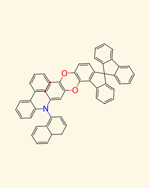 C1=CC2=C(N(c3ccc4c(c3)Oc3c(ccc5c3-c3ccccc3C53c5ccccc5-c5ccccc53)O4)c3ccccc3-c3ccccc3)C=CCC2C=C1